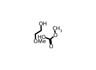 COC(=O)O.COCCO